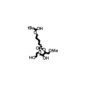 COCC(OP(=O)(OCCO)SCCCCOC(O)C(C)(C)C)C(C)O